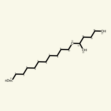 CCCCCCCCCCCCCCCCCCCCOC(O)CCCO